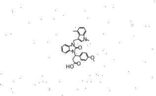 COc1ccc(C(CC(=O)O)n2c(=O)n(Cc3cn(C)c4cccc(C)c34)c3ccccc32)cc1